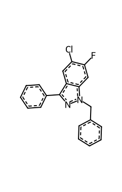 Fc1cc2c(cc1Cl)c(-c1ccccc1)nn2Cc1ccccc1